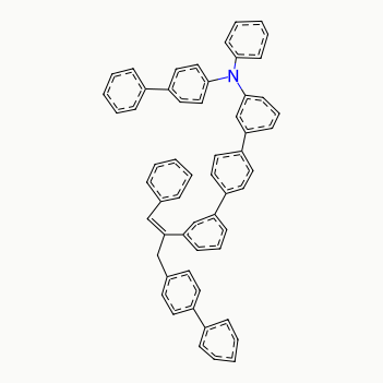 C(=C(\Cc1ccc(-c2ccccc2)cc1)c1cccc(-c2ccc(-c3cccc(N(c4ccccc4)c4ccc(-c5ccccc5)cc4)c3)cc2)c1)/c1ccccc1